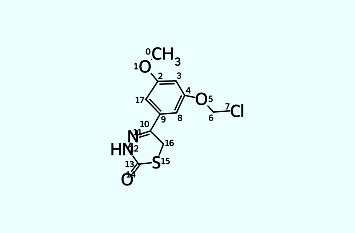 COc1cc(OCCl)cc(C2=NNC(=O)SC2)c1